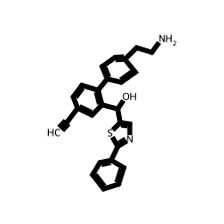 C#Cc1ccc(-c2ccc(CCN)cc2)c(C(O)c2cnc(-c3ccccc3)s2)c1